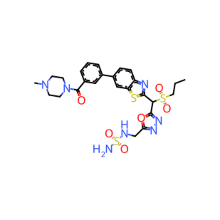 CCCS(=O)(=O)C(c1nnc(CNS(N)(=O)=O)o1)c1nc2ccc(-c3cccc(C(=O)N4CCN(C)CC4)c3)cc2s1